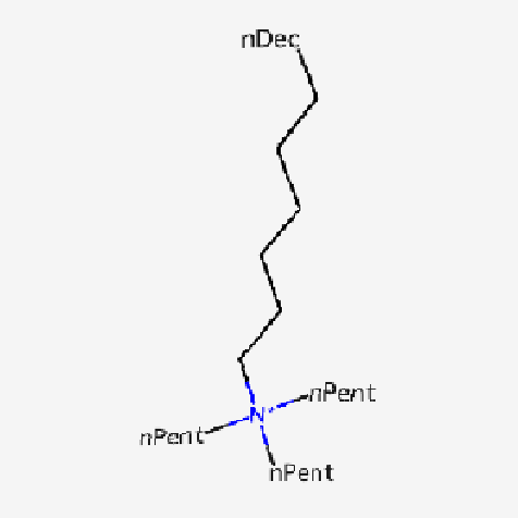 CCCCCCCCCCCCCCCC[N+](CCCCC)(CCCCC)CCCCC